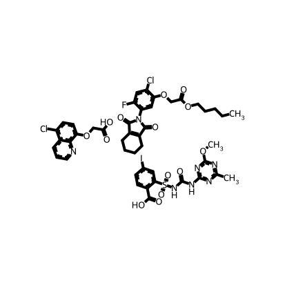 CCCCCOC(=O)COc1cc(N2C(=O)C3=C(CCCC3)C2=O)c(F)cc1Cl.COc1nc(C)nc(NC(=O)NS(=O)(=O)c2cc(I)ccc2C(=O)O)n1.O=C(O)COc1ccc(Cl)c2cccnc12